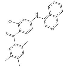 Cc1cc(C)c(C(=S)c2ccc(Nc3cncc4ccccc34)cc2Cl)cc1C